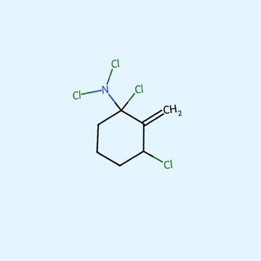 C=C1C(Cl)CCCC1(Cl)N(Cl)Cl